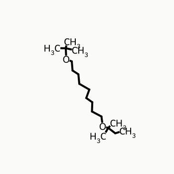 CCC(C)(C)OCCCCCCCCCOC(C)(C)C